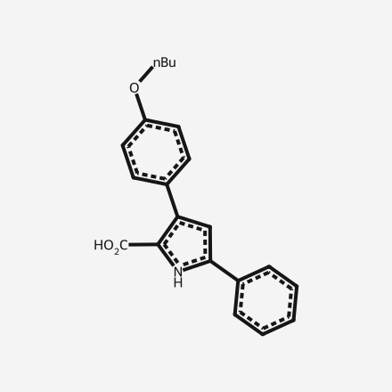 CCCCOc1ccc(-c2cc(-c3ccccc3)[nH]c2C(=O)O)cc1